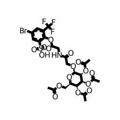 CC(=O)OC[C@H]1O[C@@H](OCC(=O)NCC(=O)Oc2c(C(F)(F)F)cc(Br)cc2S(=O)(=O)O)[C@H](OC(C)=O)[C@@H](OC(C)=O)[C@@H]1OC(C)=O